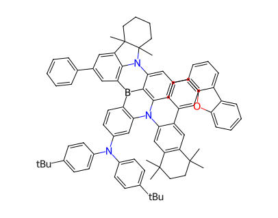 CC(C)(C)c1ccc(N(c2ccc(C(C)(C)C)cc2)c2ccc3c(c2)N(c2cc4c(cc2-c2ccccc2)C(C)(C)CCC4(C)C)c2cc(-c4cccc5c4oc4ccccc45)cc4c2B3c2cc(-c3ccccc3)cc3c2N4C2(C)CCCCC32C)cc1